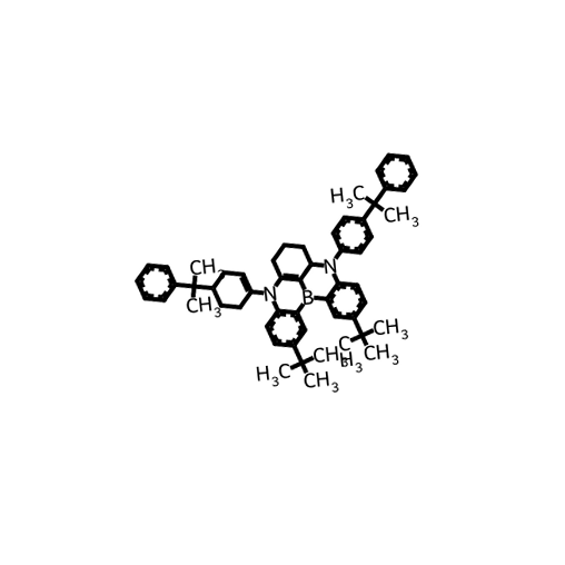 CC(C)(C)c1ccc2c(c1)B1C3=C(CCCC3N(c3ccc(C(C)(C)c4ccccc4)cc3)c3ccc(C(C)(C)C)cc31)N2C1=CCC(C(C)(C)c2ccccc2)CC1